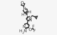 Nc1ncc(-c2cc([C@@H]3[C@@H]4CN(C5COC5)C[C@@H]43)n(CC3CC3)n2)cc1OC(F)F